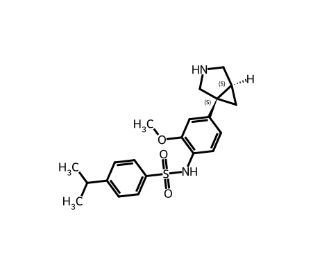 COc1cc([C@@]23CNC[C@H]2C3)ccc1NS(=O)(=O)c1ccc(C(C)C)cc1